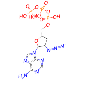 [N-]=[N+]=NC1CC(COP(=O)(O)OP(=O)(O)OP(=O)(O)O)OC1n1cnc2c(N)ncnc21